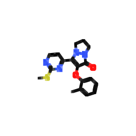 CSc1nccc(-c2c(Oc3ccccc3C)c(=O)n3n2CCC3)n1